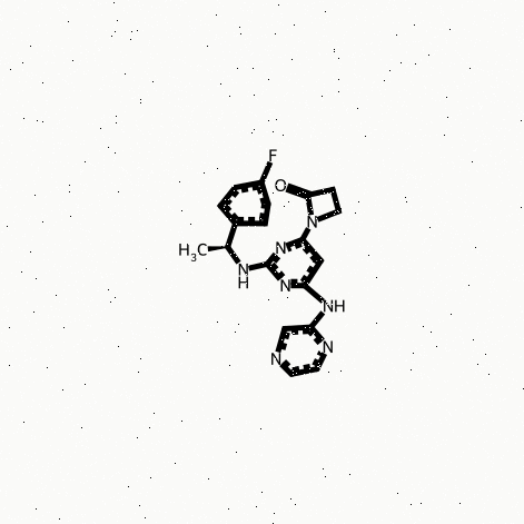 C[C@H](Nc1nc(Nc2cnccn2)cc(N2CCC2=O)n1)c1ccc(F)cc1